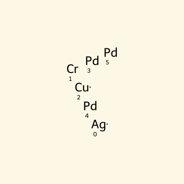 [Ag].[Cr].[Cu].[Pd].[Pd].[Pd]